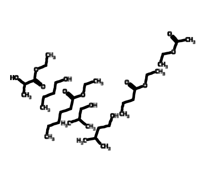 CC(C)CCO.CC(C)CO.CCCC(=O)OCC.CCCCCC(=O)OCC.CCCCO.CCOC(=O)C(C)O.CCOC(C)=O